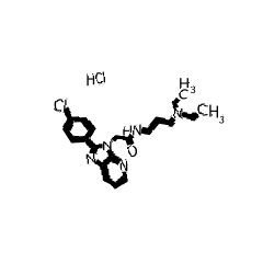 CCN(CC)CCCNC(=O)Cn1c(-c2ccc(Cl)cc2)nc2cccnc21.Cl